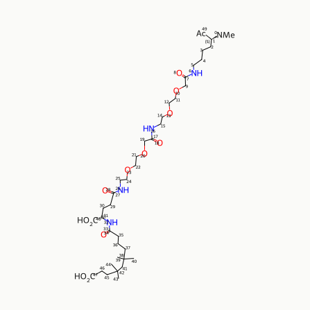 CN[C@@H](CCCCNC(=O)COCCOCCNC(=O)COCCOCCNC(=O)CC[C@H](NC(=O)CCCC(C)(C)CC(C)(C)CCC(=O)O)C(=O)O)C(C)=O